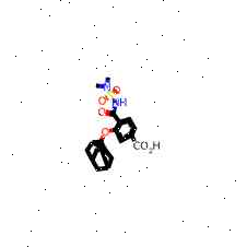 CN(C)S(=O)(=O)NC(=O)c1ccc(C(=O)O)cc1OC1C2CC3CC(C2)CC1C3